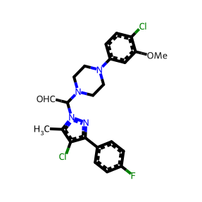 COc1cc(N2CCN(C(C=O)n3nc(-c4ccc(F)cc4)c(Cl)c3C)CC2)ccc1Cl